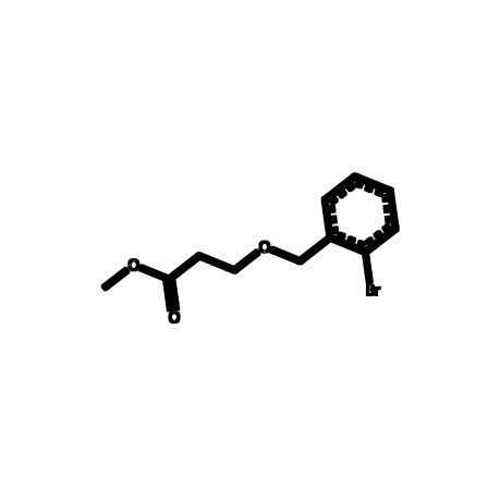 COC(=O)CCOCc1ccccc1Br